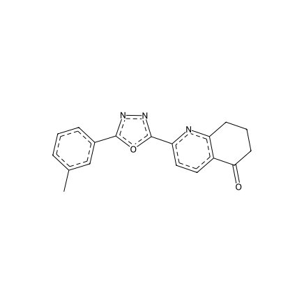 Cc1cccc(-c2nnc(-c3ccc4c(n3)CCCC4=O)o2)c1